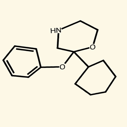 c1ccc(OC2(C3CCCCC3)CNCCO2)cc1